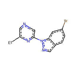 CCc1cncc(-n2ncc3ccc(Br)cc32)n1